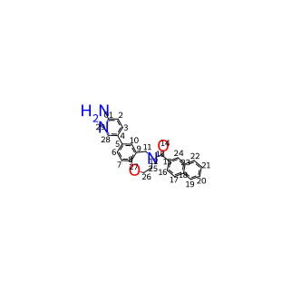 Nc1ccc(-c2ccc3c(c2)CN(C(=O)c2ccc4ccccc4c2)CCO3)cn1